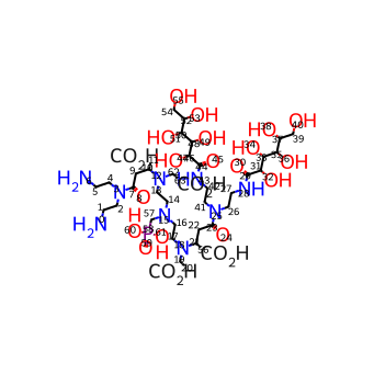 NCCN(CCN)C(=O)CC(C(=O)O)N(CCN(CCN(CC(=O)O)C(CC(=O)N(CCNC(=O)C(O)C(O)C(O)C(O)CO)CCNC(=O)C(O)C(O)C(O)C(O)CO)C(=O)O)CP(=O)(O)O)CC(=O)O